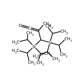 CC(=C=O)C([Si](C(C)C)(C(C)C)C(C)C)[Si](C(C)C)(C(C)C)C(C)C